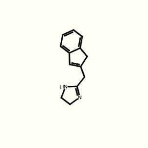 C1=C(CC2=NCCN2)Cc2ccccc21